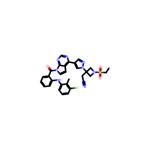 CCS(=O)(=O)N1CC(CC#N)(n2cc(-c3ncnc4c3ccn4C(=O)c3ccccc3Nc3cccc(Cl)c3C)cn2)C1